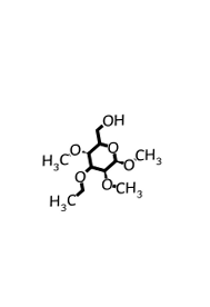 CCOC1[C@H](OC)C(CO)O[C@@H](OC)[C@H]1OC